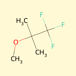 COC(C)(C)C(F)(F)F